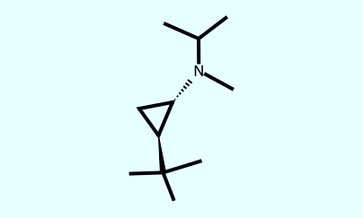 CC(C)N(C)[C@H]1C[C@@H]1C(C)(C)C